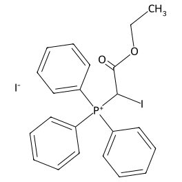 CCOC(=O)C(I)[P+](c1ccccc1)(c1ccccc1)c1ccccc1.[I-]